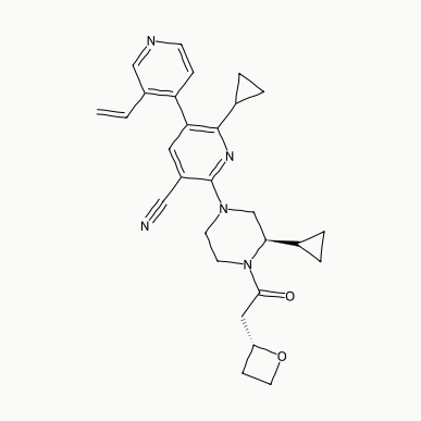 C=Cc1cnccc1-c1cc(C#N)c(N2CCN(C(=O)C[C@H]3CCO3)[C@H](C3CC3)C2)nc1C1CC1